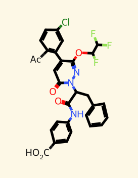 CC(=O)c1ccc(Cl)cc1-c1cc(=O)n(C(Cc2ccccc2)C(=O)Nc2ccc(C(=O)O)cc2)nc1OC(F)C(F)F